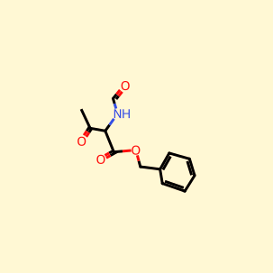 CC(=O)C(NC=O)C(=O)OCc1ccccc1